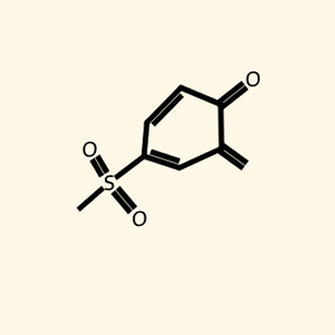 C=C1C=C(S(C)(=O)=O)C=CC1=O